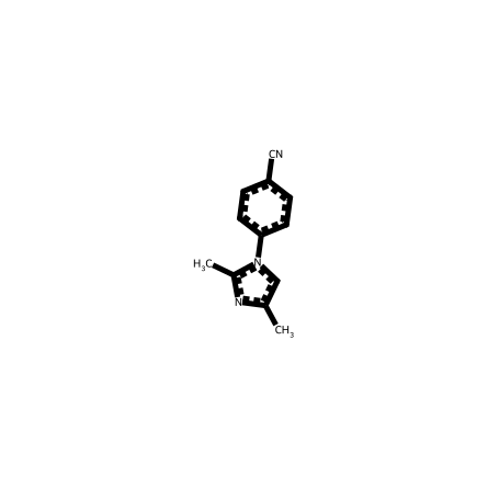 Cc1cn(-c2ccc(C#N)cc2)c(C)n1